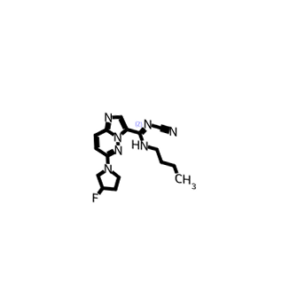 CCCCN/C(=N\C#N)c1cnc2ccc(N3CCC(F)C3)nn12